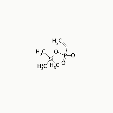 C=CP(=O)([O-])O[Si](C)(C)C.[Li+]